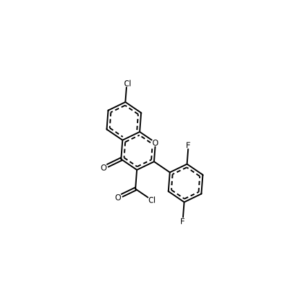 O=C(Cl)c1c(-c2cc(F)ccc2F)oc2cc(Cl)ccc2c1=O